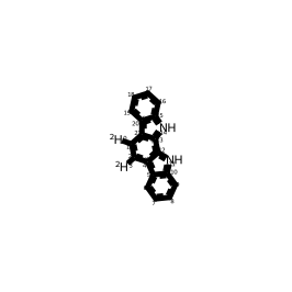 [2H]c1c([2H])c2c3ccccc3[nH]c2c2[nH]c3ccccc3c12